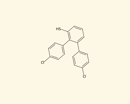 Sc1cccc(-c2ccc(Cl)cc2)c1-c1ccc(Cl)cc1